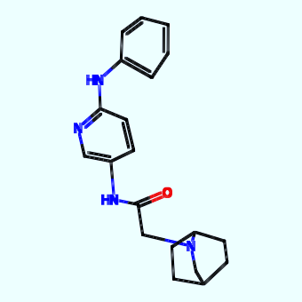 O=C(CN1CC2CCC1CC2)Nc1ccc(Nc2ccccc2)nc1